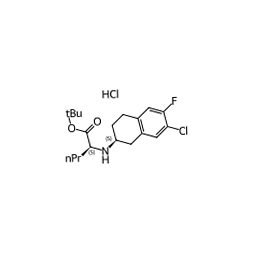 CCC[C@H](N[C@H]1CCc2cc(F)c(Cl)cc2C1)C(=O)OC(C)(C)C.Cl